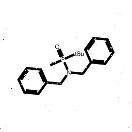 CC(C)(C)P(C)(=O)N(Cc1ccccc1)Cc1ccccc1